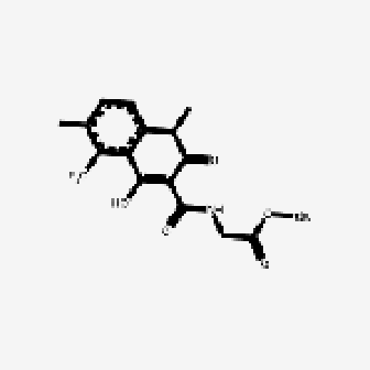 Cc1ccc2c(c1C(F)(F)F)C(O)=C(C(=O)NCC(=O)OC(C)(C)C)C(=O)C2C